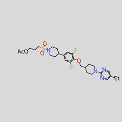 CCc1cnc(N2CCC(COc3c(F)cc(C4CCN(S(=O)(=O)CCCOC(C)=O)CC4)cc3F)CC2)nc1